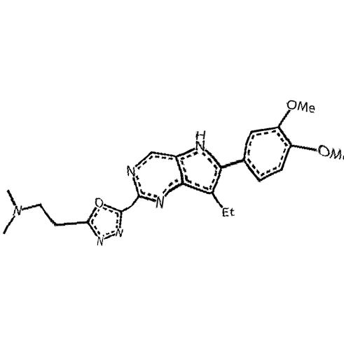 CCc1c(-c2ccc(OC)c(OC)c2)[nH]c2cnc(-c3nnc(CCN(C)C)o3)nc12